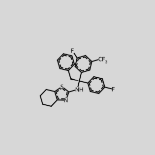 Fc1ccc([C@](Cc2ccccc2)(Nc2nc3c(s2)CCCC3)c2cc(F)cc(C(F)(F)F)c2)cc1